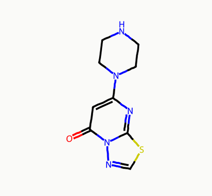 O=c1cc(N2CCNCC2)nc2scnn12